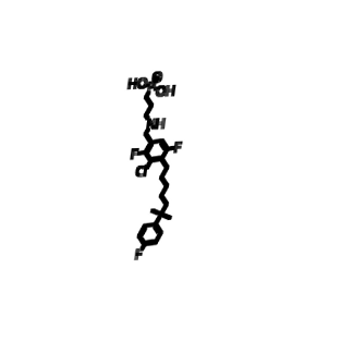 CC(C)(CCCCCc1c(F)cc(CNCCCP(=O)(O)O)c(F)c1Cl)c1ccc(F)cc1